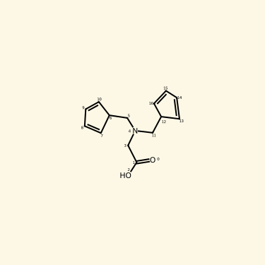 O=C(O)CN(CC1C=CC=C1)CC1C=CC=C1